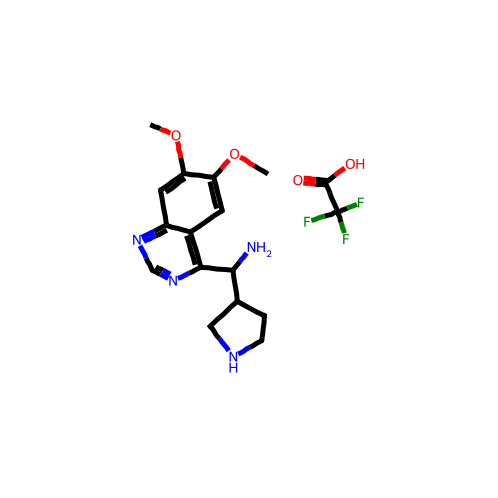 COc1cc2ncnc(C(N)C3CCNC3)c2cc1OC.O=C(O)C(F)(F)F